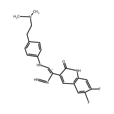 CN(C)CCc1ccc(N/C=C(\N=N)c2cc3cc(F)c(F)cc3[nH]c2=O)cc1